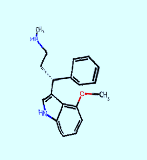 CNCC[C@H](c1ccccc1)c1c[nH]c2cccc(OC)c12